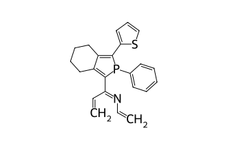 C=C/N=C(\C=C)c1c2c(c(-c3cccs3)p1-c1ccccc1)CCCC2